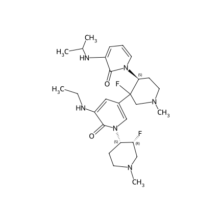 CCNc1cc(C2(F)CN(C)CC[C@@H]2n2cccc(NC(C)C)c2=O)cn([C@H]2CCN(C)C[C@H]2F)c1=O